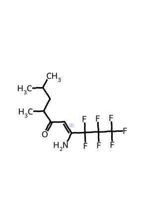 C[C](CC(C)C)C(=O)/C=C(\N)C(F)(F)C(F)(F)C(F)(F)F